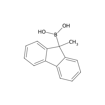 CC1(B(O)O)c2ccccc2-c2ccccc21